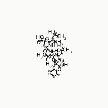 CC(C)C[C@H](NC(=O)[C@@H](NC(=O)[C@H](CCC(=O)O)NC(=O)[C@@H](N)CC(C)C)C(C)C)C(=O)N[C@@H](Cc1ccccc1)C(=O)O